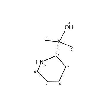 CC(C)(O)[C@@H]1CCCCN1